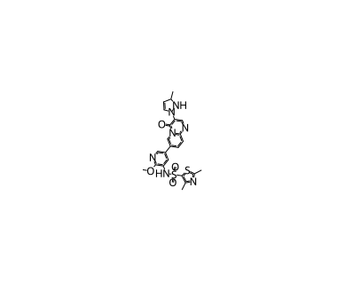 COc1ncc(-c2ccc3ncc(N4C=CC(C)N4)c(=O)n3c2)cc1NS(=O)(=O)c1sc(C)nc1C